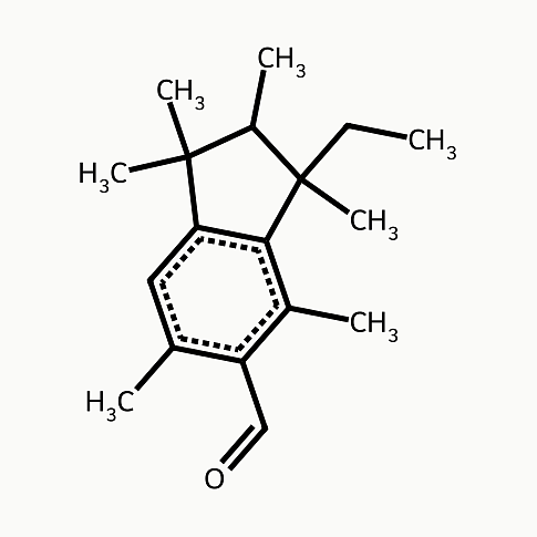 CCC1(C)c2c(cc(C)c(C=O)c2C)C(C)(C)C1C